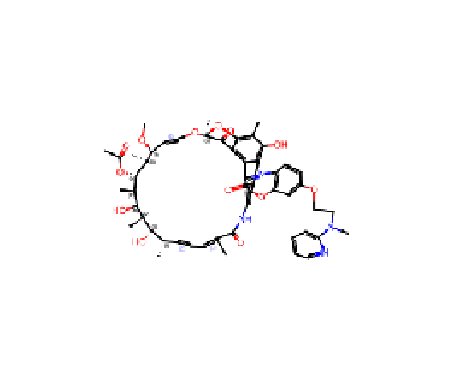 CO[C@H]1/C=C/O[C@@]2(C)Oc3c(C)c(O)c4c(=O)c(c5oc6cc(OCCN(C)c7ccccn7)ccc6nc-5c4c3C2=O)NC(=O)/C(C)=C\C=C\[C@H](C)[C@H](O)[C@@H](C)[C@@H](O)[C@@H](C)[C@H](OC(C)=O)[C@@H]1C